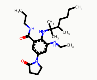 CCCCC(C)C(C)(C)Nc1c(NCC)cc(N2CCCC2=O)cc1C(=O)NCCC